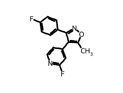 Cc1onc(-c2ccc(F)cc2)c1-c1ccnc(F)c1